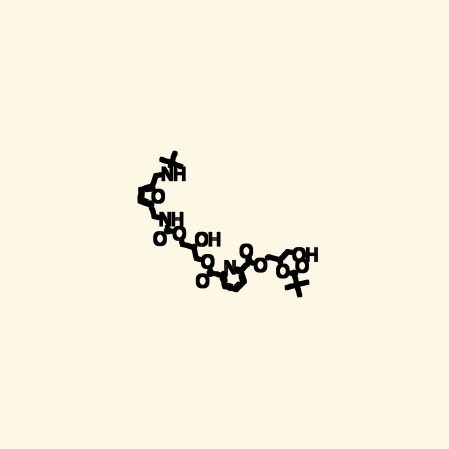 CC(C)(C)NCc1ccc(CNC(=O)OCC(O)COC(=O)c2cccc(C(=O)OCC(CO)OC(=O)C(C)(C)C)n2)o1